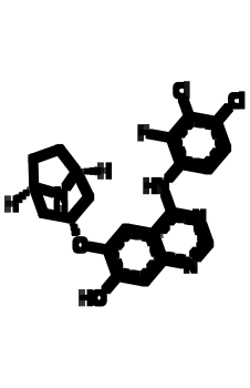 Oc1cc2ncnc(Nc3ccc(Cl)c(Cl)c3F)c2cc1O[C@@H]1C[C@H]2CC[C@@H](C1)N2